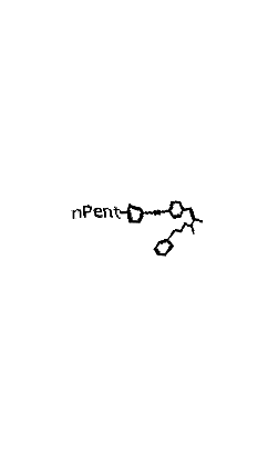 CCCCCc1ccc(C#Cc2ccc(C=C(C)C(C)CCCc3ccccc3)cc2)cc1